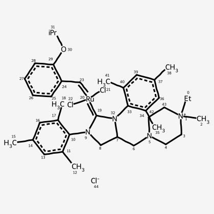 CC[N+]1(C)CCN(CC2CN(c3c(C)cc(C)cc3C)[C](=[Ru]([Cl])([Cl])=[CH]c3ccccc3OC(C)C)N2c2c(C)cc(C)cc2C)CC1.[Cl-]